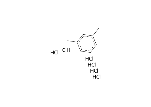 Cc1cccc(C)c1.Cl.Cl.Cl.Cl.Cl.Cl